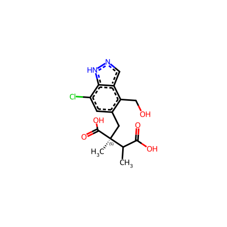 CC(C(=O)O)[C@](C)(Cc1cc(Cl)c2[nH]ncc2c1CO)C(=O)O